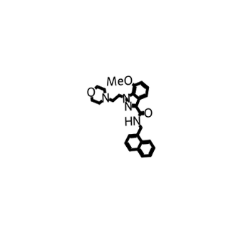 COc1cccc2c(C(=O)NCc3cccc4ccccc34)nn(CCN3CCOCC3)c12